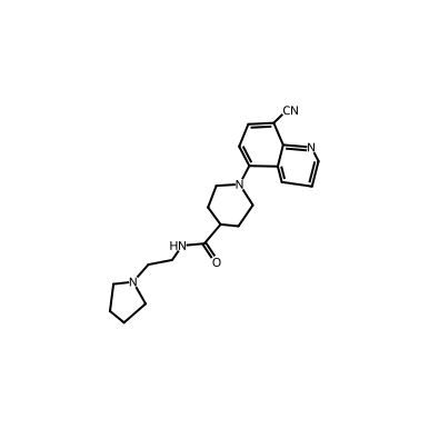 N#Cc1ccc(N2CCC(C(=O)NCCN3CCCC3)CC2)c2cccnc12